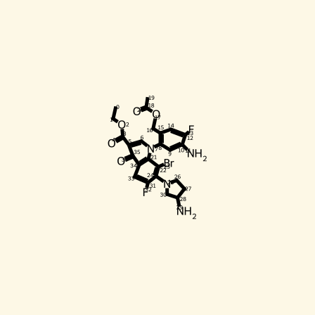 CCOC(=O)c1cn(-c2cc(N)c(F)cc2COC(C)=O)c2c(Br)c(N3CCC(N)C3)c(F)cc2c1=O